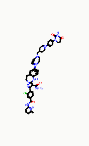 CC1=CC=CC(NC(=O)c2ccc(-c3nn4c(c3C(N)=O)Nc3ccc(N5CCN(CC6CCN(c7ccc(N8CCC(=O)NC8=O)cc7)CC6)CC5)cc3CC4)c(Cl)c2)N1